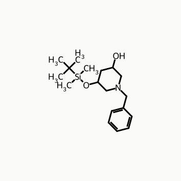 CC(C)(C)[Si](C)(C)OC1CC(O)CN(Cc2ccccc2)C1